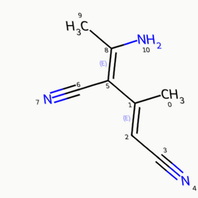 CC(=C\C#N)/C(C#N)=C(/C)N